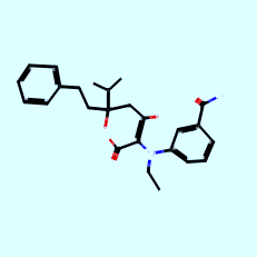 CCN(C1=C(O)CC(CCc2ccccc2)(C(C)C)OC1=O)c1cccc(C(N)=O)c1